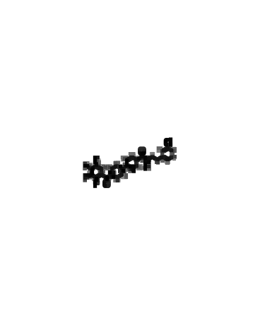 O=C(NCCc1cccc(Cl)c1)c1ccc(N2CCN(C(=O)c3cc(F)c(F)c(F)c3F)CC2)nc1